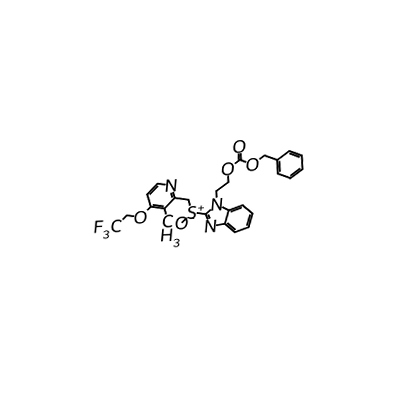 Cc1c(OCC(F)(F)F)ccnc1C[S+]([O-])c1nc2ccccc2n1CCOC(=O)OCc1ccccc1